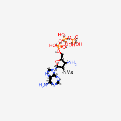 CNC1C(N)C(COP(=O)(O)OP(=O)(O)OP(=O)(O)O)OC1n1cnc2c(N)ncnc21